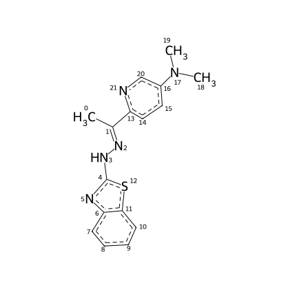 C/C(=N\Nc1nc2ccccc2s1)c1ccc(N(C)C)cn1